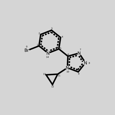 Brc1cccc(-c2nncn2C2CC2)n1